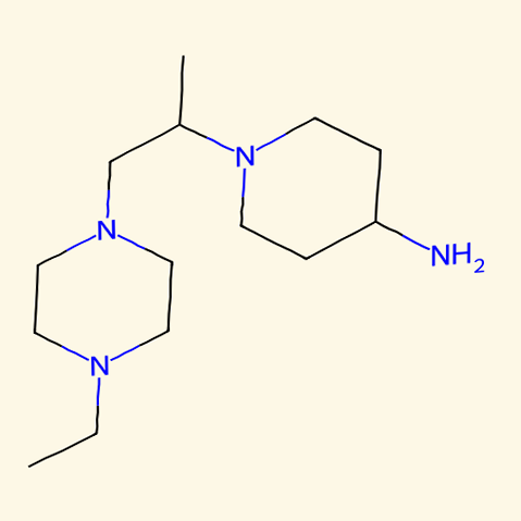 CCN1CCN(CC(C)N2CCC(N)CC2)CC1